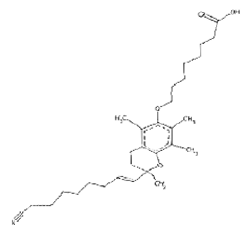 Cc1c(C)c2c(c(C)c1OCCCCCCCC(=O)O)CCC(C)(C=CCCCCCCC#N)O2